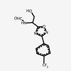 O=CNC(CO)c1nc(-c2ccc(C(F)(F)F)cc2)no1